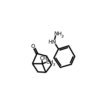 CC1(C)C2CCC(=O)C1C2.NNc1ccccc1